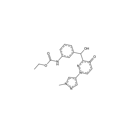 CCOC(=O)Nc1cccc(C(O)c2nn(-c3cnn(C)c3)ccc2=O)c1